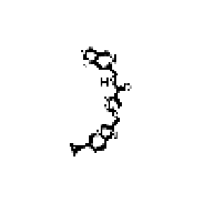 O=C(NCc1cc2oncc2cn1)c1cn(Cc2cn3cc(C4CC4)ccc3n2)nn1